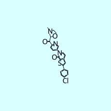 CN1CCOC(C(=O)c2ccc(-n3ccc4cc(-c5ccc(Cl)cc5)sc4c3=O)cn2)C1